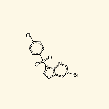 O=S(=O)(c1ccc(Cl)cc1)n1ccc2cc(Br)cnc21